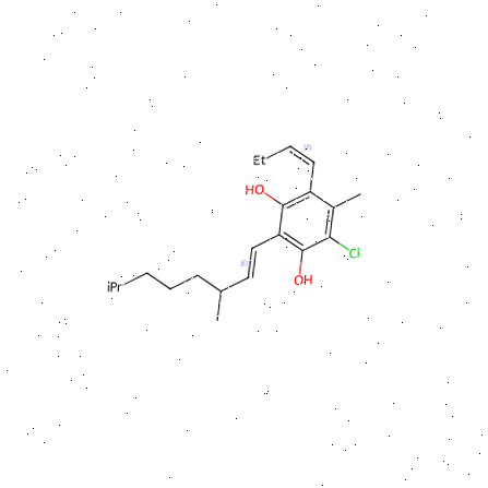 CC/C=C\c1c(C)c(Cl)c(O)c(/C=C/C(C)CCCC(C)C)c1O